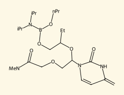 C=C1C=CN(C(COCC(=O)NC)OC(CC)COB(OCCC)N(C(C)C)C(C)C)C(=O)N1